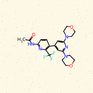 CC(=O)Nc1ccc(-c2cc(N3CCOCC3)nc(N3CCOCC3)c2)c(C(F)(F)F)n1